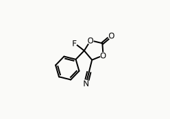 N#CC1OC(=O)OC1(F)c1ccccc1